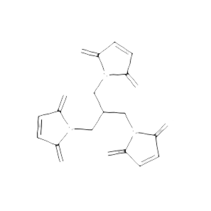 O=C1C=CC(=O)N1CC(CN1C(=O)C=CC1=O)CN1C(=O)C=CC1=O